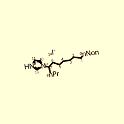 CCCCCCCCCCCCCCCC(CCC)[n+]1cc[nH]c1.[I-]